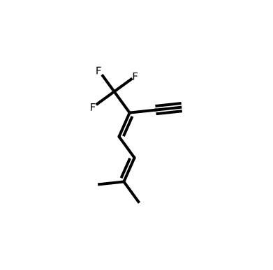 C#C/C(=C\C=C(C)C)C(F)(F)F